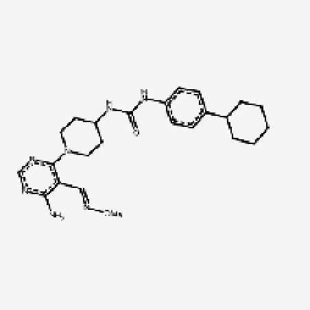 CON=Cc1c(N)ncnc1N1CCC(NC(=O)Nc2ccc(C3CCCCC3)cc2)CC1